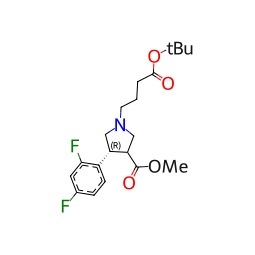 COC(=O)C1CN(CCCC(=O)OC(C)(C)C)C[C@H]1c1ccc(F)cc1F